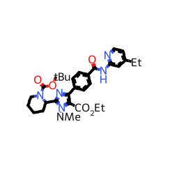 CCOC(=O)c1c(-c2ccc(C(=O)Nc3cc(CC)ccn3)cc2)nc(C2CCCCN2C(=O)OC(C)(C)C)n1NC